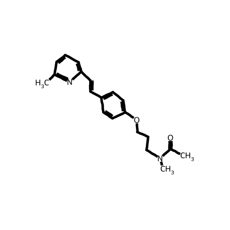 CC(=O)N(C)CCCOc1ccc(C=Cc2cccc(C)n2)cc1